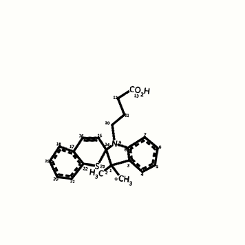 CC1(C)c2ccccc2N(CCCC(=O)O)C12C=Cc1ccccc1S2